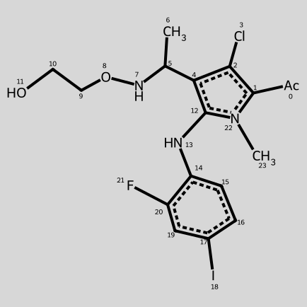 CC(=O)c1c(Cl)c(C(C)NOCCO)c(Nc2ccc(I)cc2F)n1C